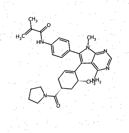 C=C(C)C(=O)Nc1ccc(-c2c(C3=CC[C@@H](C(=O)N4CCCC4)C[C@H]3C)c3c(N)ncnc3n2C)cc1